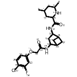 CC1CC(C)NC(C(=O)NC2CC(NC(=O)COc3ccc(Cl)c(F)c3)C3CC2C3)C1